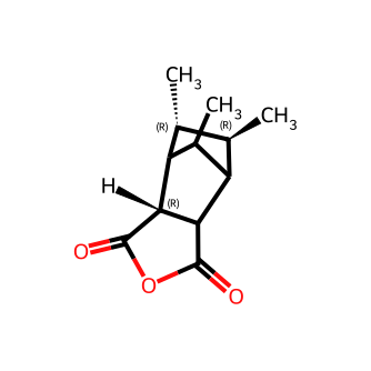 CC1C2C3C(=O)OC(=O)[C@@H]3C1[C@H](C)[C@H]2C